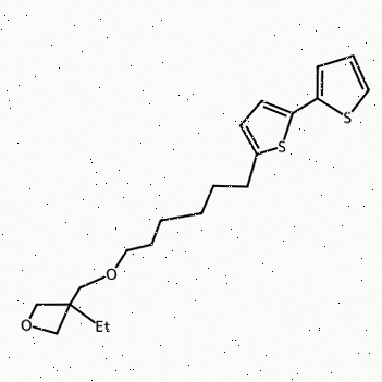 CCC1(COCCCCCCc2ccc(-c3cccs3)s2)COC1